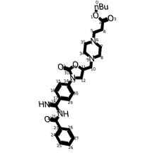 CCCCOC(=O)CCN1CCN(CC2CN(c3ccc(C(=N)NC(=O)c4ccccc4)cc3)C(=O)O2)CC1